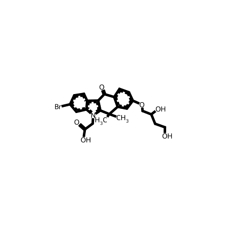 CC1(C)c2cc(OCC(O)CCO)ccc2C(=O)c2c1n(CC(=O)O)c1cc(Br)ccc21